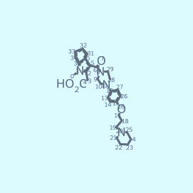 Cn1c(CC(=O)O)c(C(=O)N2CCN(c3ccc(OCCCN4CCCCC4)cc3)CC2)c2ccccc21